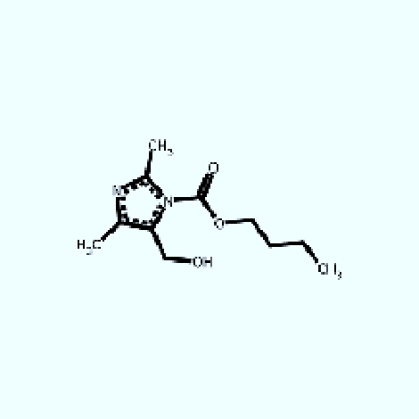 CCCCOC(=O)n1c(C)nc(C)c1CO